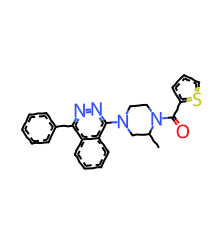 CC1CN(c2nnc(-c3ccccc3)c3ccccc23)CCN1C(=O)c1cccs1